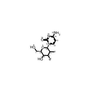 CC1C(F)C(O)[C@@H](CO)O[C@H]1n1ccc(N)nc1=O